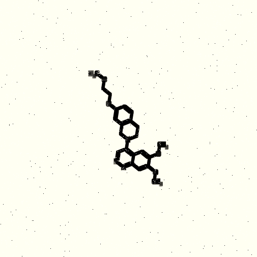 COCCOc1ccc2c(c1)CN(c1cnnc3cc(OC)c(OC)cc13)CC2